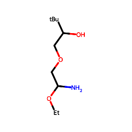 CCOC(N)COCC(O)C(C)(C)C